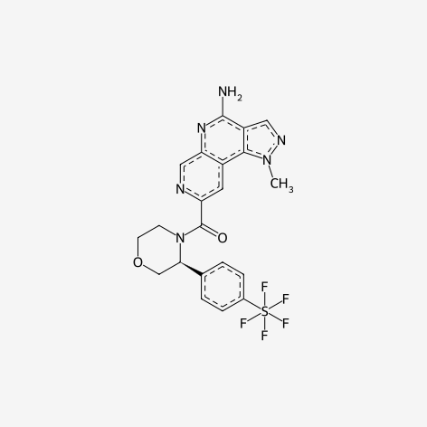 Cn1ncc2c(N)nc3cnc(C(=O)N4CCOC[C@@H]4c4ccc(S(F)(F)(F)(F)F)cc4)cc3c21